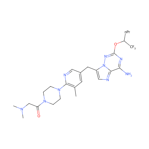 CCCC(Oc1nc(N)c2ncc(Cc3cnc(N4CCN(C(=O)CN(C)C)CC4)c(C)c3)n2n1)C(F)(F)F